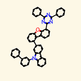 c1ccc(-c2cccc(-n3c4ccccc4c4ccc(-c5cccc6oc7c(-c8nc(-c9ccccc9)nc(-c9ccccc9)n8)cccc7c56)cc43)c2)cc1